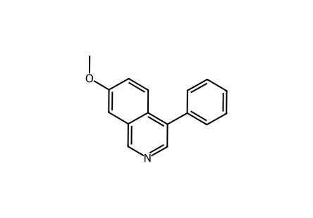 COc1ccc2c(-c3ccccc3)cncc2c1